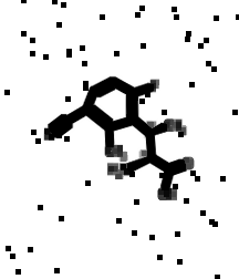 Cc1c(C#N)ccc(F)c1[C@@H](C)[C@H](N)C(=O)O